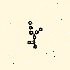 c1ccc(-c2ccc(-c3cccc(N(c4ccc(-c5ccccc5)cc4)c4ccc(-c5ccc(-c6ccccc6)c6c5C5c7ccccc7C67c6cccc5c67)cc4)c3)cc2)cc1